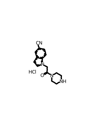 Cl.N#Cc1ccc2c(ccn2CC(=O)N2CCNCC2)c1